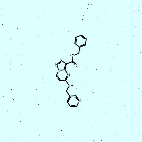 O=C(OCc1ccccc1)c1cnn2ccc(NCc3cccnc3)nc12